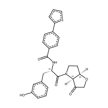 O=C(N[C@@H](Cc1cccc(O)c1)C(=O)N1CC[C@H]2OCC(=O)[C@H]21)c1ccc(-c2cccs2)cc1